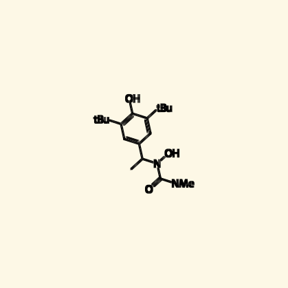 CNC(=O)N(O)C(C)c1cc(C(C)(C)C)c(O)c(C(C)(C)C)c1